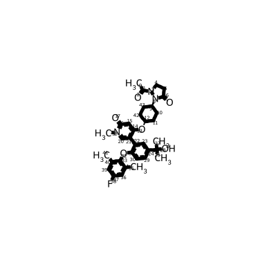 CC(=O)N1CCC(=O)N1[C@H]1CC[C@H](Oc2cc(=O)n(C)cc2-c2cc(C(C)(C)O)ccc2Oc2c(C)cc(F)cc2C)CC1